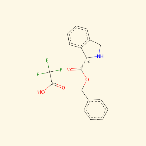 O=C(O)C(F)(F)F.O=C(OCc1ccccc1)[C@H]1NCc2ccccc21